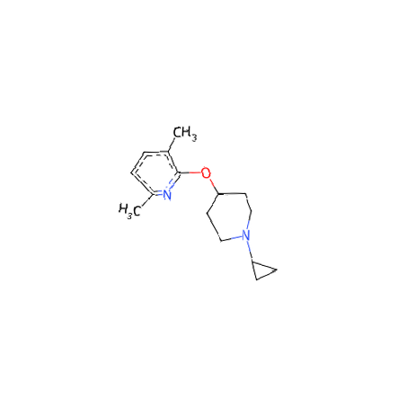 Cc1ccc(C)c(OC2CCN(C3CC3)CC2)n1